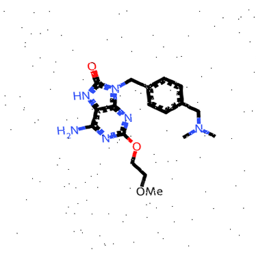 COCCOc1nc(N)c2[nH]c(=O)n(Cc3ccc(CN(C)C)cc3)c2n1